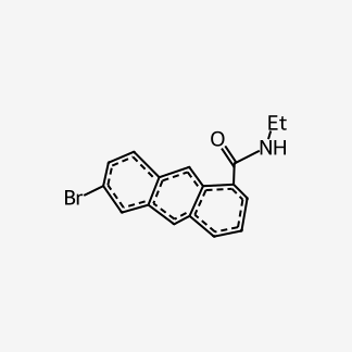 CCNC(=O)c1cccc2cc3cc(Br)ccc3cc12